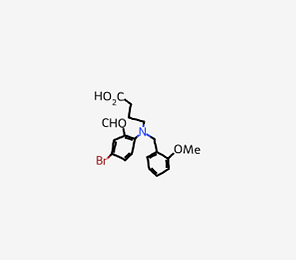 COc1ccccc1CN(CCCC(=O)O)c1ccc(Br)cc1C=O